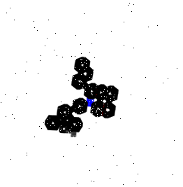 CC1(c2ccccc2)c2ccccc2-c2c(-c3ccc(N(c4cccc(-c5cccc6c5ccc5ccccc56)c4)c4ccccc4-c4cccc5cccc(C6CCCCC6)c45)cc3)cccc21